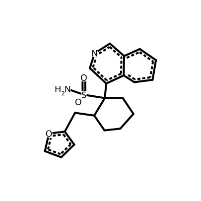 NS(=O)(=O)C1(c2cncc3ccccc23)CCCCC1Cc1ccco1